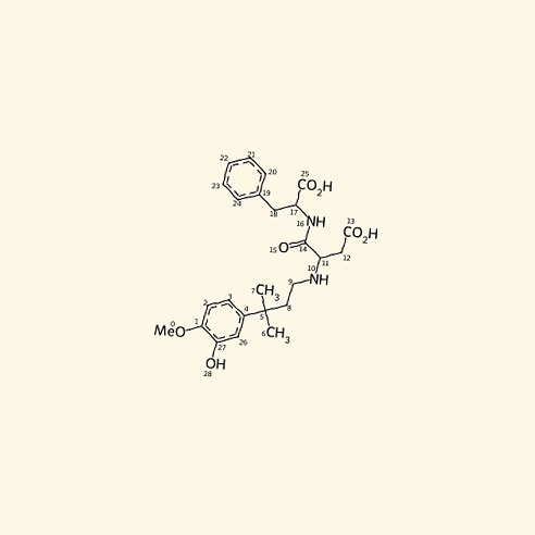 COc1ccc(C(C)(C)CCNC(CC(=O)O)C(=O)NC(Cc2ccccc2)C(=O)O)cc1O